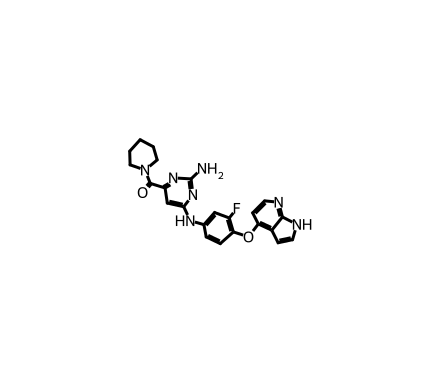 Nc1nc(Nc2ccc(Oc3ccnc4[nH]ccc34)c(F)c2)cc(C(=O)N2CCCCC2)n1